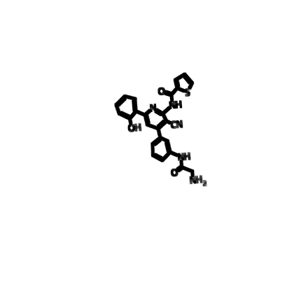 N#Cc1c(-c2cccc(NC(=O)CN)c2)cc(-c2ccccc2O)nc1NC(=O)c1cccs1